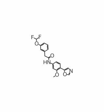 COc1cc(NC(=O)Cc2cccc(OC(F)F)c2)ccc1-c1cnco1